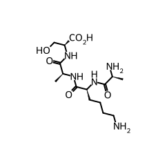 C[C@H](N)C(=O)N[C@@H](CCCCN)C(=O)N[C@@H](C)C(=O)N[C@@H](CO)C(=O)O